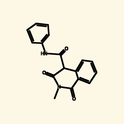 CN1C(=O)c2ccccc2C(C(=O)Nc2ccccc2)C1=O